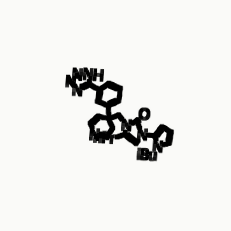 CCCc1cn(-c2cccn2C(C)CC)c(=O)n1CC1(c2cccc(-c3nnn[nH]3)c2)C=CN=CC1